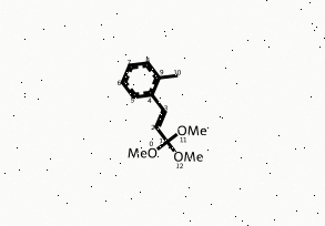 COC(C=Cc1ccccc1C)(OC)OC